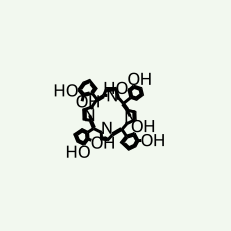 Oc1cccc(C2=C3C=CC(=N3)C(c3cccc(O)c3O)=C3C=CC(=N3)C(c3cccc(O)c3O)=C3C=CC(=N3)C(c3cccc(O)c3O)=C3C=CC2=N3)c1O